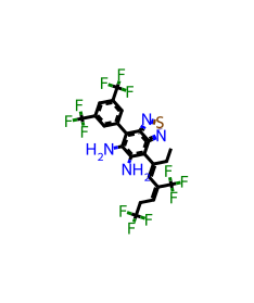 CC/C(=C\C(=C/CC(F)(F)F)C(F)(F)F)c1c(N)c(N)c(-c2cc(C(F)(F)F)cc(C(F)(F)F)c2)c2nsnc12